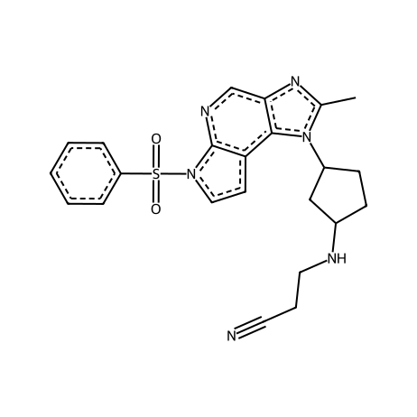 Cc1nc2cnc3c(ccn3S(=O)(=O)c3ccccc3)c2n1C1CCC(NCCC#N)C1